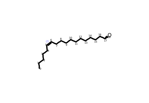 CCCCC/C=C\CCCCCCCCCCC=O